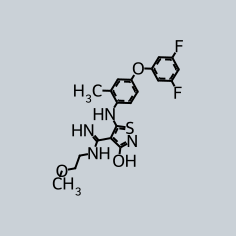 COCCNC(=N)c1c(O)nsc1Nc1ccc(Oc2cc(F)cc(F)c2)cc1C